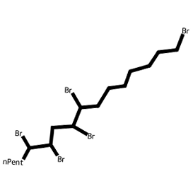 CCCCCC(Br)C(Br)CC(Br)C(Br)CCCCCCCBr